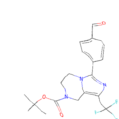 CC(C)(C)OC(=O)N1CCn2c(-c3ccc(C=O)cc3)nc(C(F)(F)F)c2C1